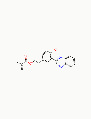 C=C(C)C(=O)OCCc1ccc(O)c(-c2cnc3ccccc3n2)c1